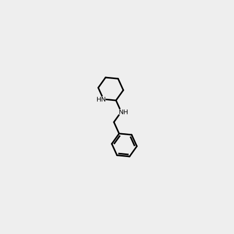 c1ccc(CNC2CCCCN2)cc1